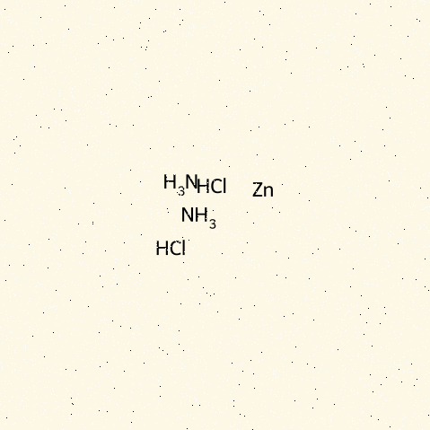 Cl.Cl.N.N.[Zn]